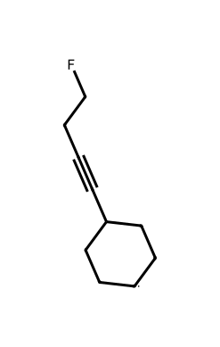 FCCC#CC1CC[CH]CC1